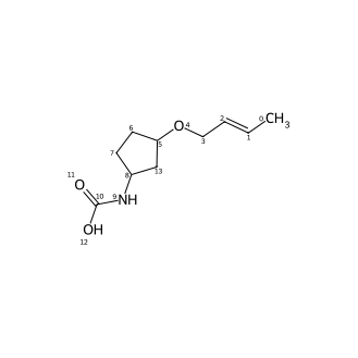 CC=CCOC1CCC(NC(=O)O)C1